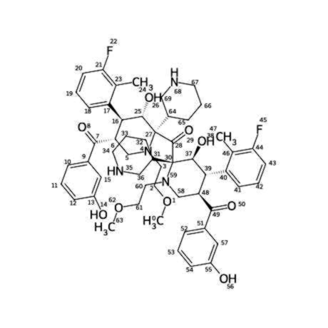 COCCN1C[C@H](C(=O)c2cccc(O)c2)[C@@H](c2cccc(F)c2C)[C@H](O)[C@]1(C(=O)[C@]1(C2CCCNC2)[C@@H](O)[C@H](c2cccc(F)c2C)[C@@H](C(=O)c2cccc(O)c2)CN1CCOC)C1CCCNC1